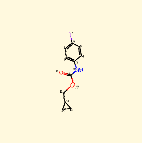 O=C(Nc1ccc(I)cc1)OCC1CC1